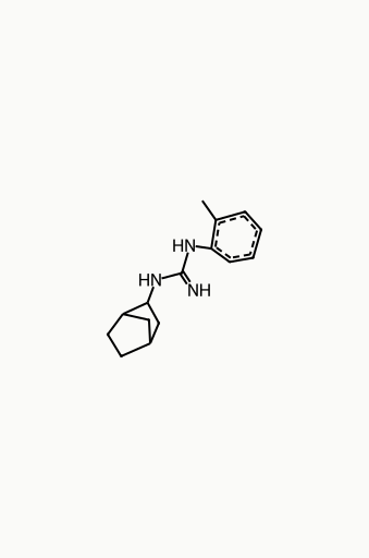 Cc1ccccc1NC(=N)NC1CC2CCC1C2